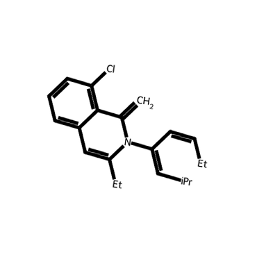 C=C1c2c(Cl)cccc2C=C(CC)N1C(/C=C\CC)=C/C(C)C